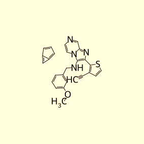 C#Cc1ccsc1-c1nc2cnccn2c1NCc1cccc(OC)c1.c1cc2cc-2c1